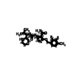 Cc1ccc(COc2nsc(NC(=O)NC(C(C)C)C3COCCN3)c2C(N)=O)c(F)c1F